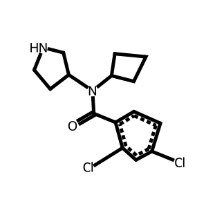 O=C(c1ccc(Cl)cc1Cl)N(C1CCC1)C1CCNC1